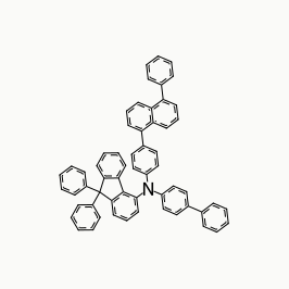 c1ccc(-c2ccc(N(c3ccc(-c4cccc5c(-c6ccccc6)cccc45)cc3)c3cccc4c3-c3ccccc3C4(c3ccccc3)c3ccccc3)cc2)cc1